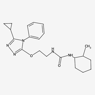 CC1CCCCC1NC(=O)NCCOc1nnc(C2CC2)n1-c1ccccc1